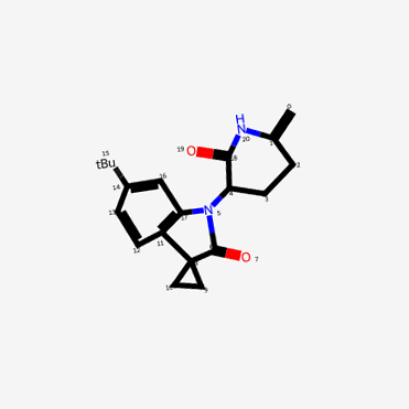 C=C1CCC(N2C(=O)C3(CC3)c3ccc(C(C)(C)C)cc32)C(=O)N1